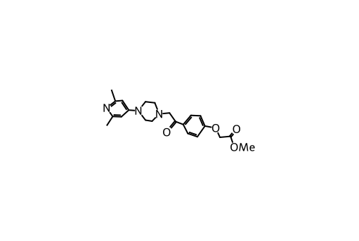 COC(=O)COc1ccc(C(=O)CN2CCN(c3cc(C)nc(C)c3)CC2)cc1